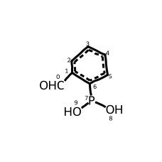 O=Cc1ccccc1P(O)O